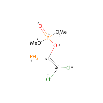 COP(=O)(OC)OC=C(Cl)Cl.P